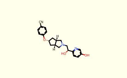 N#Cc1ccc(O[C@@H]2C[C@@H]3CN(C[C@H](O)c4ccc(O)cn4)C[C@@H]3C2)cc1